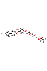 CCC(C)(C)C(=O)OCCOCCOCCOc1ccc(C(=O)Oc2ccc(-c3ccc(C#N)cc3)cc2)cc1